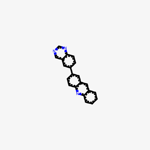 c1ccc2nc3ccc(-c4ccc5ncncc5c4)cc3cc2c1